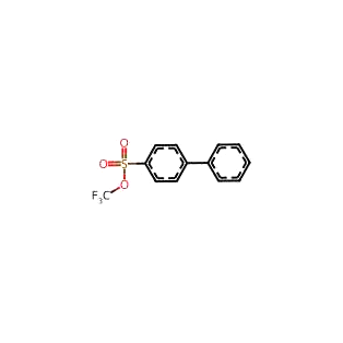 O=S(=O)(OC(F)(F)F)c1ccc(-c2ccccc2)cc1